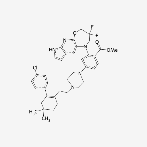 COC(=O)c1ccc(N2CCN(CCC3=C(c4ccc(Cl)cc4)CC(C)(C)CC3)CC2)cc1N1CC(F)(F)COc2nc3[nH]ccc3cc21